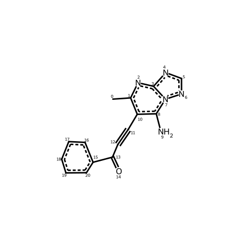 Cc1nc2ncnn2c(N)c1C#CC(=O)c1ccccc1